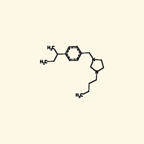 CCCCN1CCN(Cc2ccc(C(C)CC)cc2)C1